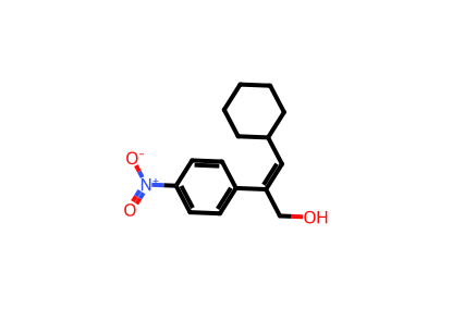 O=[N+]([O-])c1ccc(/C(=C\C2CCCCC2)CO)cc1